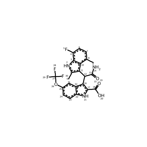 Cc1[nH]c2c(F)ccc(C)c2c1C(C(N)=O)c1c(C(=O)O)[nH]c2ccc(OC(F)(F)F)cc12